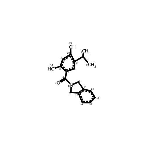 CC(C)c1cc(C(=O)N2Cc3ccccc3C2)c(O)cc1O